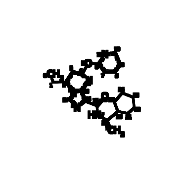 CCc1cc(Oc2ccccn2)nc2c(C(=O)NC(C)C3CCCCC3)ncn12